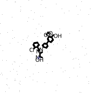 C/C(=N\O)c1cn(-c2ccc(-c3ccc(CO)c(S(C)(=O)=O)c3)cc2)c(-c2ccccc2Cl)n1